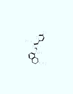 Cc1nc(Nc2cccc3c2C[C@H](O)CC3)oc1-c1ccc(Br)cn1